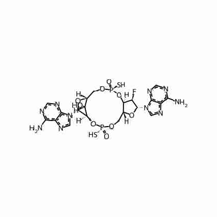 Nc1ncnc2c1ncn2[C@@H]1O[C@@H]2CO[P@](=O)(S)O[C@@H]3[C@H](O)[C@@H](CO[P@@](=O)(S)O[C@H]2[C@H]1F)O[C@H]3n1cnc2c(N)ncnc21